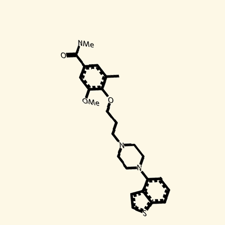 CNC(=O)c1cc(C)c(OCCCN2CCN(c3cccc4sccc34)CC2)c(OC)c1